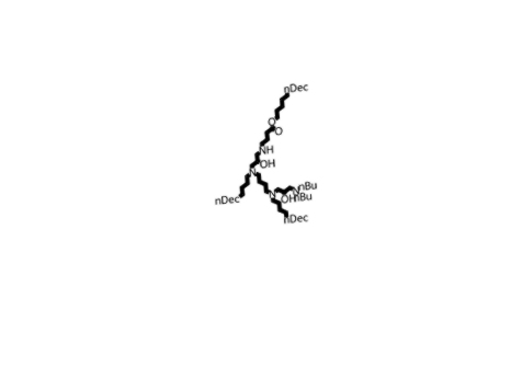 CCCCCCCCCCCCCCCOC(=O)CCCNCC(O)CN(CCCCCCCCCCCCCC)CCCCN(CCCCCCCCCCCCCC)CC(O)CN(CCCC)CCCC